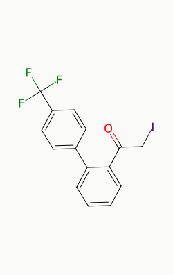 O=C(CI)c1ccccc1-c1ccc(C(F)(F)F)cc1